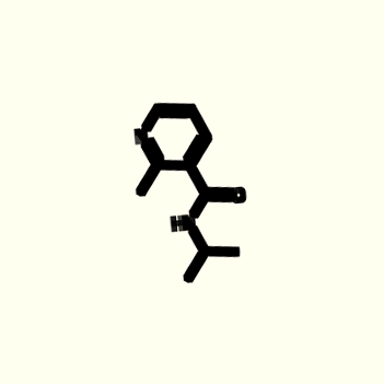 Cc1ncccc1C(=O)NC(C)C